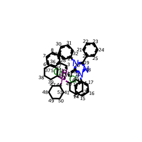 [Cl][Ru]([Cl])(=[CH]c1ccccc1)(=[c]1n(-c2ccccc2)nc(-c2ccccc2)n1-c1ccccc1)[PH](C1CCCCC1)(C1CCCCC1)C1CCCCC1